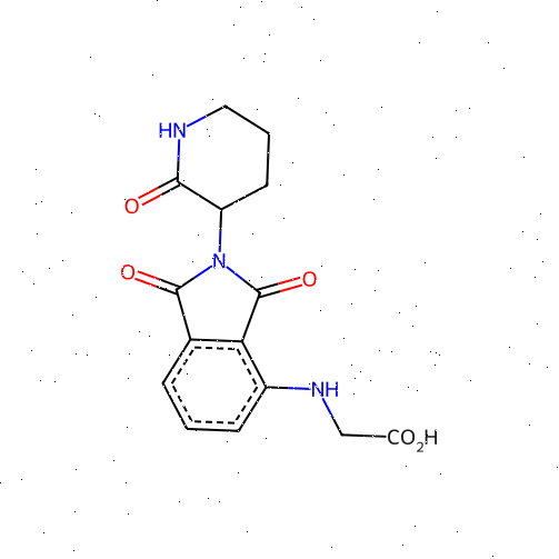 O=C(O)CNc1cccc2c1C(=O)N(C1CCCNC1=O)C2=O